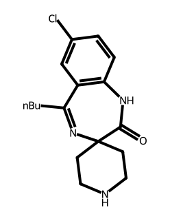 CCCCC1=NC2(CCNCC2)C(=O)Nc2ccc(Cl)cc21